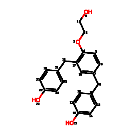 OCCOc1ccc(Cc2ccc(O)cc2)cc1Cc1ccc(O)cc1